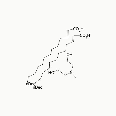 CCCCCCCCCCCCCCCCCCCC=CC(=O)O.CCCCCCCCCCCCCCCCCCCC=CC(=O)O.CN(CCO)CCO